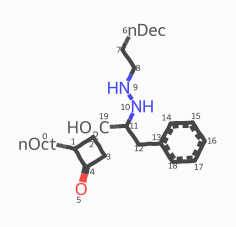 CCCCCCCCC1CCC1=O.CCCCCCCCCCCCNNC(Cc1ccccc1)C(=O)O